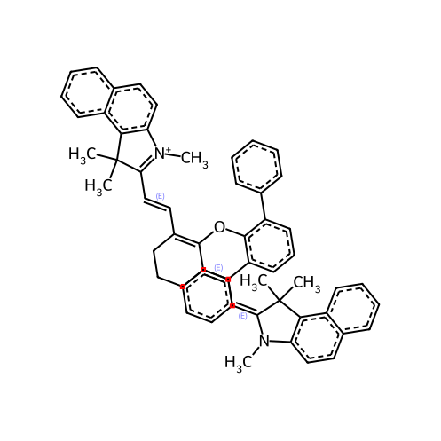 CN1/C(=C/C=C2\CCCC(/C=C/C3=[N+](C)c4ccc5ccccc5c4C3(C)C)=C2Oc2c(-c3ccccc3)cccc2-c2ccccc2)C(C)(C)c2c1ccc1ccccc21